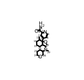 COC1(c2ccnc(C(N)=O)c2)C(C)CCCC1CN(C)C1CCCOC1